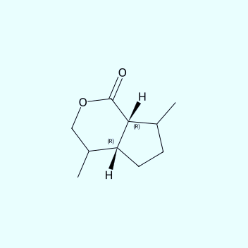 CC1COC(=O)[C@@H]2C(C)CC[C@H]12